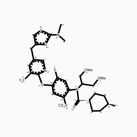 COCC(COC)N(c1cc(F)c(Oc2ncc(Cc3csc(N(C)C)n3)cc2C(F)(F)F)cc1C(=O)O)C(=O)[C@H]1CC[C@H](C)CC1